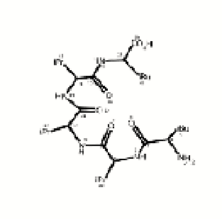 CCC(C)C(N)C(=O)NC(C(=O)NC(C(=O)NC(C(=O)NC(C(=O)O)C(C)CC)C(C)C)C(C)C)C(C)C